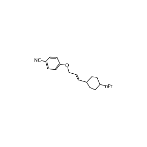 CCCC1CCC(C=CCOc2ccc(C#N)cc2)CC1